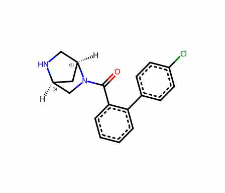 O=C(c1ccccc1-c1ccc(Cl)cc1)N1C[C@@H]2C[C@H]1CN2